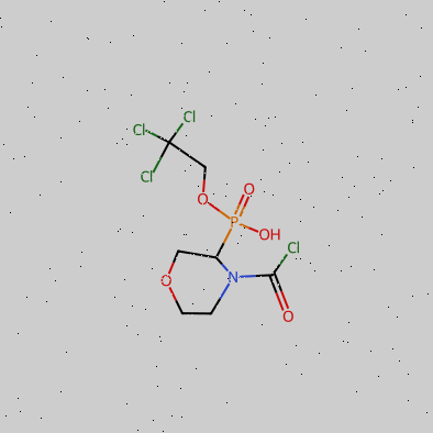 O=C(Cl)N1CCOCC1P(=O)(O)OCC(Cl)(Cl)Cl